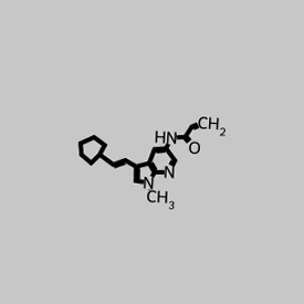 C=CC(=O)Nc1cnc2c(c1)c(C=CC1CCCCC1)cn2C